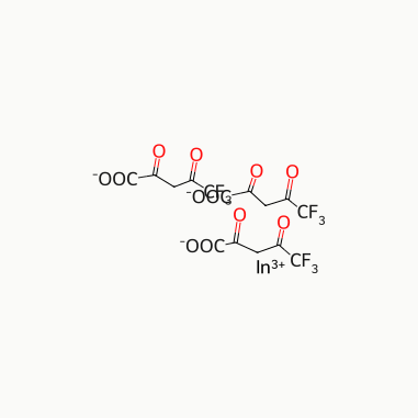 O=C([O-])C(=O)CC(=O)C(F)(F)F.O=C([O-])C(=O)CC(=O)C(F)(F)F.O=C([O-])C(=O)CC(=O)C(F)(F)F.[In+3]